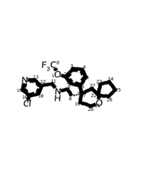 FC(F)(F)Oc1cccc([C@]2(CCNCc3cncc(Cl)c3)CCOC3(CCCC3)C2)c1